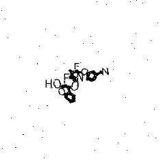 Cc1c(F)c(Oc2cccc(C#N)c2)nc(OC(CC(=O)O)c2ccccc2)c1F